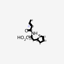 C/C=C/C(=O)N[C@@H](CC1CC=CS1)C(=O)O